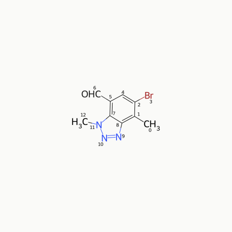 Cc1c(Br)cc(C=O)c2c1nnn2C